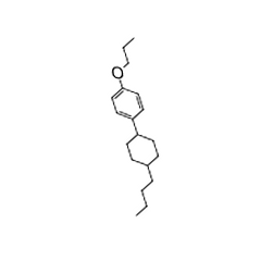 CCCCC1CCC(c2ccc(OCCC)cc2)CC1